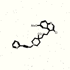 COc1ccc2ncc(Cl)c(CCCC3(C(=O)O)CCN(CC#Cc4ccccn4)CC3)c2c1